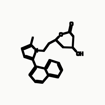 Cc1ccc(-c2cccc3ccccc23)n1CCC1CC(O)CC(=O)O1